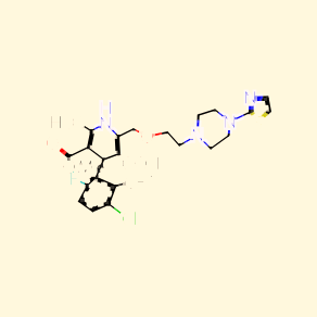 COC(=O)C1=C(C)NC(COCCN2CCN(c3nccs3)CC2)=C(C(=O)O)C1c1c(F)ccc(Cl)c1C(F)(F)F